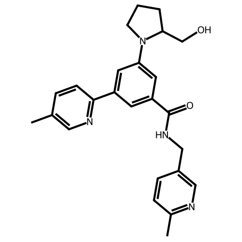 Cc1ccc(-c2cc(C(=O)NCc3ccc(C)nc3)cc(N3CCCC3CO)c2)nc1